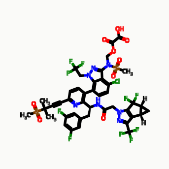 CC(C)(C#Cc1ccc(-c2ccc(Cl)c3c(N(COC(=O)C(=O)O)S(C)(=O)=O)nn(CC(F)(F)F)c23)c([C@H](Cc2cc(F)cc(F)c2)NC(=O)Cn2nc(C(F)(F)F)c3c2C(F)(F)[C@@H]2C[C@H]32)n1)S(C)(=O)=O